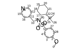 COc1ccc(S(=O)(=O)N(Cc2ccncc2)[C@@H]2CCCC[C]2C(C)(C)C)cc1